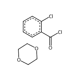 C1COCCO1.O=C(Cl)c1ccccc1Cl